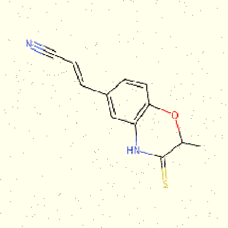 CC1Oc2ccc(C=CC#N)cc2NC1=S